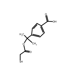 CC(C)(OC(=O)CS)c1ccc(C(=O)O)cc1